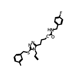 C=CCn1c(CCCCC(=O)NCc2ccc(F)cc2)nnc1SCc1cccc(C)c1